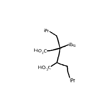 CCC(C)C(CC(C)C)(C(=O)O)C(CC(C)C)C(=O)O